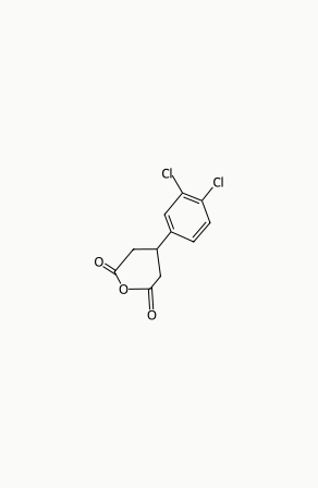 O=C1CC(c2ccc(Cl)c(Cl)c2)CC(=O)O1